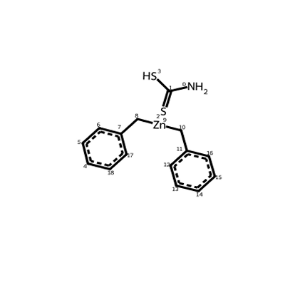 NC(=S)S.c1ccc([CH2][Zn][CH2]c2ccccc2)cc1